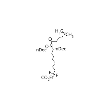 CCCCCCCCCCON(C(=O)CCCN(C)C)C(CCCCCCCCCC)CCCCCCC(F)(F)C(=O)OCC